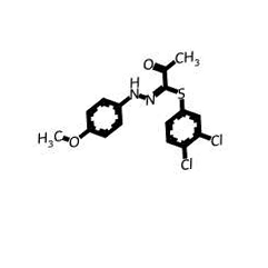 COc1ccc(N/N=C(/Sc2ccc(Cl)c(Cl)c2)C(C)=O)cc1